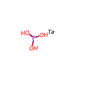 OP(O)O.[Ta]